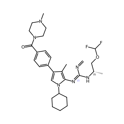 C=N/C(=N\c1c(C)c(-c2ccc(C(=O)N3CCN(C)CC3)cc2)cn1C1CCCCC1)N[C@@H](C)COC(F)F